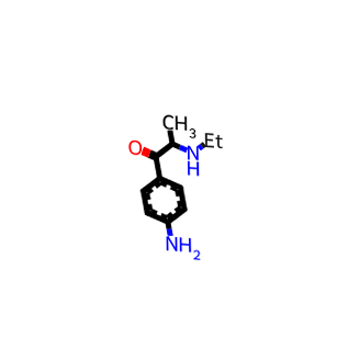 CCNC(C)C(=O)c1ccc(N)cc1